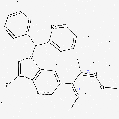 C/C=C(/C(C)=N\OC)c1cnc2c(F)cn(C(c3ccccc3)c3ccccn3)c2c1